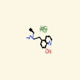 C#CCN(C)CCc1ccc(O)c2ncccc12.Cl.Cl